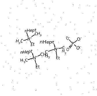 CCCCCCC[N+](C)(C)CC.CCCCCCC[N+](C)(C)CC.CCCCCCC[N+](C)(C)CC.O=P([O-])([O-])[O-]